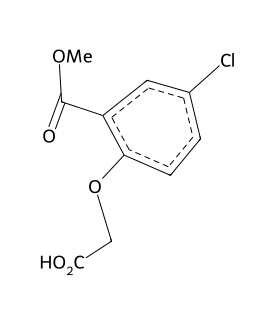 COC(=O)c1cc(Cl)ccc1OCC(=O)O